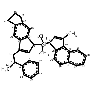 CC1=CC([Si](C)(C)C2C=C(CC(C)c3ccccc3)c3cc4c(cc32)CCC4)c2ccc3ccccc3c21